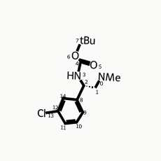 CNC[C@@H](NC(=O)OC(C)(C)C)c1cccc(Cl)c1